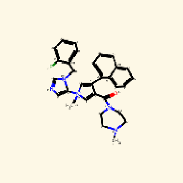 CN1CCN(C(=O)C2=C[N+](C)(c3cncn3Cc3ccccc3F)C=C2c2cccc3ccccc23)CC1